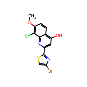 COc1ccc2c(O)cc(-c3nc(Br)cs3)nc2c1Cl